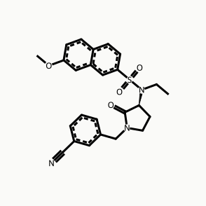 CCN([C@H]1CCN(Cc2cccc(C#N)c2)C1=O)S(=O)(=O)c1ccc2ccc(OC)cc2c1